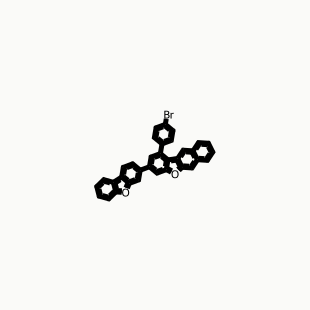 Brc1ccc(-c2cc(-c3ccc4c(c3)oc3ccccc34)cc3oc4cc5ccccc5cc4c23)cc1